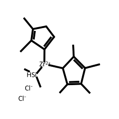 CC1=C(C)[C]([Zr+2]([CH]2C(C)=C(C)C(C)=C2C)[SiH](C)C)=CC1.[Cl-].[Cl-]